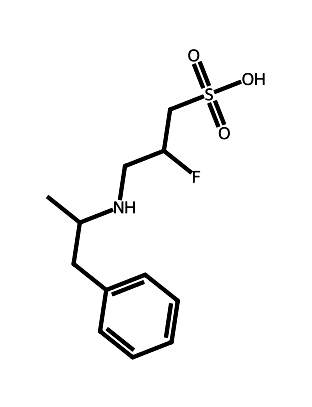 CC(Cc1ccccc1)NCC(F)CS(=O)(=O)O